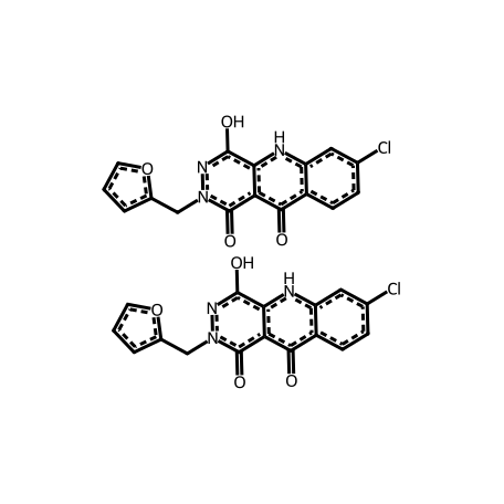 O=c1c2ccc(Cl)cc2[nH]c2c(O)nn(Cc3ccco3)c(=O)c12.O=c1c2ccc(Cl)cc2[nH]c2c(O)nn(Cc3ccco3)c(=O)c12